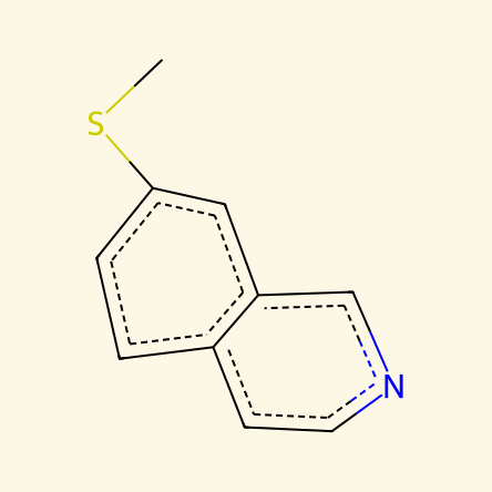 CSc1ccc2ccncc2c1